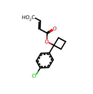 O=C(O)/C=C/C(=O)OC1(c2ccc(Cl)cc2)CCC1